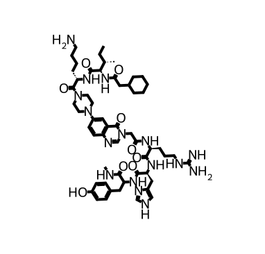 CC[C@H](C)[C@H](NC(=O)CC1CCCCC1)C(=O)N[C@@H](CCCCN)C(=O)N1CCN(c2ccc3ncn(CC(=O)N[C@@H](CCCNC(=N)N)C(=O)N[C@@H](Cc4c[nH]cn4)C(=O)NC(Cc4ccc(O)cc4)C(=O)NC)c(=O)c3c2)CC1